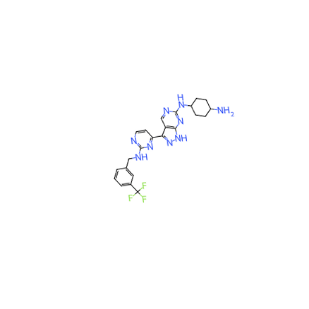 NC1CCC(Nc2ncc3c(-c4ccnc(NCc5cccc(C(F)(F)F)c5)n4)n[nH]c3n2)CC1